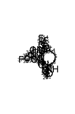 CC[C@@H]1C[C@H](C)CC/C=C\C2C[C@@]2(C(=O)NS(=O)(=O)C2(C)CC2)NC(=O)[C@@H]2C[C@@H](Oc3nc(OC)cc4cc(F)ccc34)CN2C(=O)[C@H]1NC(=O)OC(C)(C)C(C)(F)F